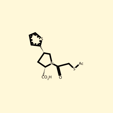 CC(=O)SCC(=O)N1C[C@@H](c2cccs2)C[C@H]1C(=O)O